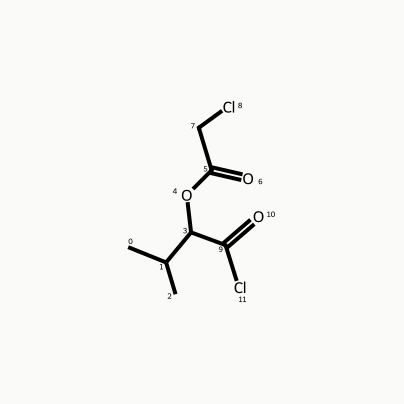 CC(C)C(OC(=O)CCl)C(=O)Cl